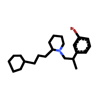 CC(CN1CCCCC1CCCC1CCCCC1)c1cccc(Br)c1